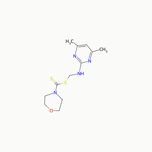 Cc1cc(C)nc(NCSC(=S)N2CCOCC2)n1